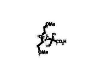 COCCOCCOC.O=C(O)C(F)(F)C(F)(F)F